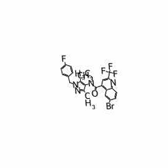 CCN(C(=O)c1cc(C(F)(F)F)nc2ccc(Br)cc12)c1c(C)nn(Cc2ccc(F)cc2)c1C